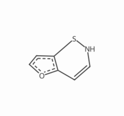 C1=Cc2occc2SN1